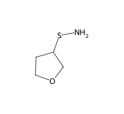 NSC1CCOC1